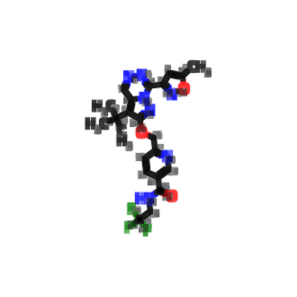 Cc1cc(-c2nncc3c(C(C)(C)C)c(OCc4ccc(C(=O)NCC(F)(F)F)cn4)nn23)no1